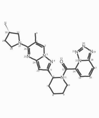 Cc1cn2nc([C@@H]3CCCCN3C(=O)c3cccc4nnnn34)cc2nc1N1CC[C@H](C)C1